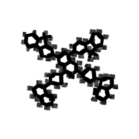 CC1(C)c2ccccc2-c2ccc(-c3cc(-c4ccc5c(c4)C(C)(C)c4ccccc4-5)c4cc(-c5ccc(-c6cccc7cccnc67)cc5)nc(-c5ccc(-c6cccc7cccnc67)cc5)c4c3)cc21